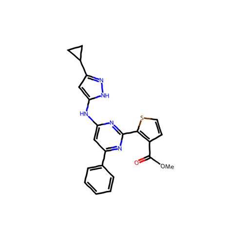 COC(=O)c1ccsc1-c1nc(Nc2cc(C3CC3)n[nH]2)cc(-c2ccccc2)n1